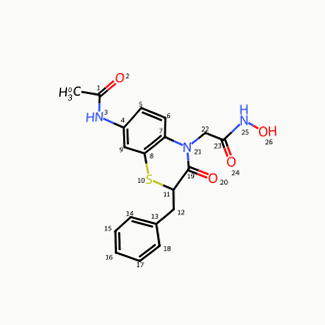 CC(=O)Nc1ccc2c(c1)SC(Cc1ccccc1)C(=O)N2CC(=O)NO